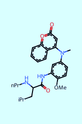 CCCNC(CC(C)C)C(=O)Nc1cc(N(C)c2cc(=O)oc3ccccc23)ccc1OC